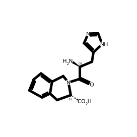 N[C@@H](Cc1cnc[nH]1)C(=O)N1Cc2ccccc2C[C@H]1C(=O)O